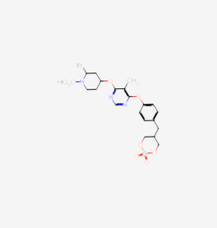 CCC1CC(Oc2ncnc(Oc3ccc(CC4COS(=O)(=O)OC4)cc3)c2C)CCN1C(=O)O